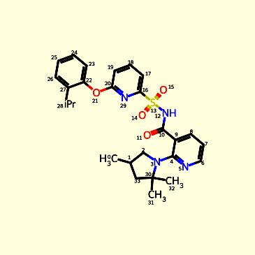 CC1CN(c2ncccc2C(=O)NS(=O)(=O)c2cccc(Oc3ccccc3C(C)C)n2)C(C)(C)C1